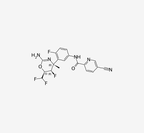 C[C@]1(c2cc(NC(=O)c3ccc(C#N)cn3)ccc2F)N=C(N)O[C@H](C(F)F)[C@@H]1F